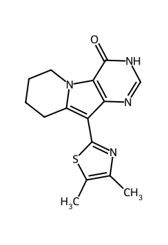 Cc1nc(-c2c3n(c4c(=O)[nH]cnc24)CCCC3)sc1C